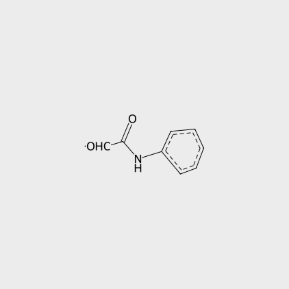 O=[C]C(=O)Nc1ccccc1